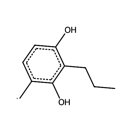 [CH2]c1ccc(O)c(CCC)c1O